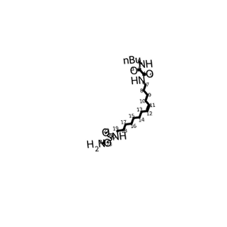 CCCCNC(=O)C(=O)NCCCC/C=C\CCCCCCCNS(=O)ON